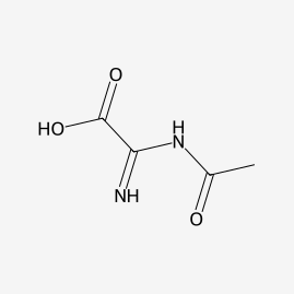 CC(=O)NC(=N)C(=O)O